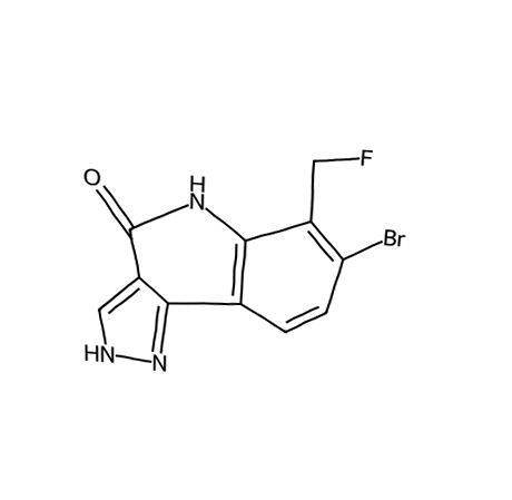 O=c1[nH]c2c(CF)c(Br)ccc2c2n[nH]cc12